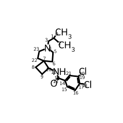 CC(C)CN1CCC2(CCC2NC(=O)c2ccc(Cl)c(Cl)c2)CC1